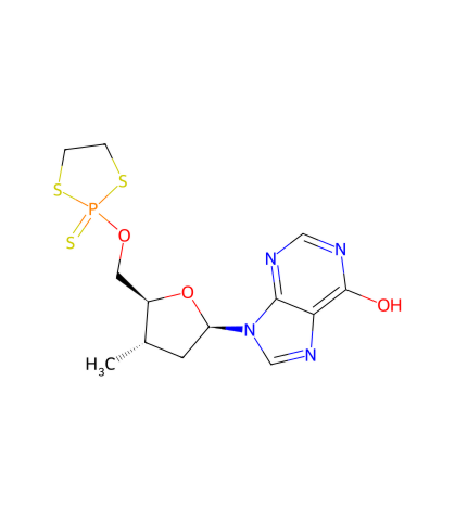 C[C@H]1C[C@H](n2cnc3c(O)ncnc32)O[C@@H]1COP1(=S)SCCS1